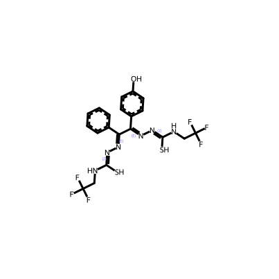 Oc1ccc(C(=N\N=C(/S)NCC(F)(F)F)/C(=N/N=C(\S)NCC(F)(F)F)c2ccccc2)cc1